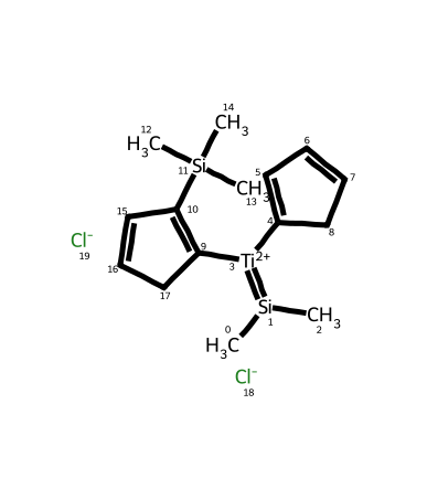 C[Si](C)=[Ti+2]([C]1=CC=CC1)[C]1=C([Si](C)(C)C)C=CC1.[Cl-].[Cl-]